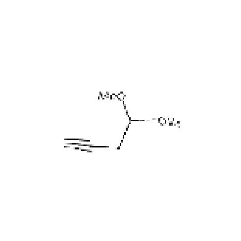 C#CCC(OC)OC